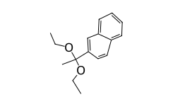 CCOC(C)(OCC)c1ccc2ccccc2c1